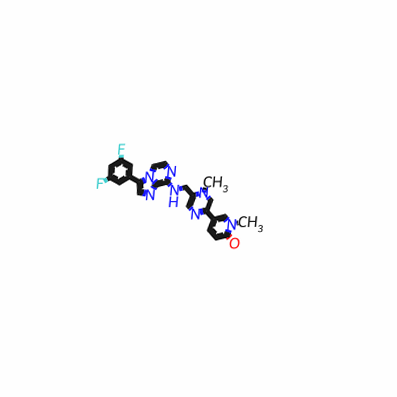 CN1CC(c2ccc(=O)n(C)c2)=NC=C1CNc1nccn2c(-c3cc(F)cc(F)c3)cnc12